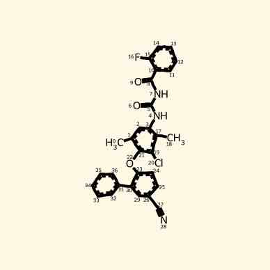 Cc1cc(NC(=O)NC(=O)c2ccccc2F)c(C)c(Cl)c1Oc1ccc(C#N)cc1-c1ccccc1